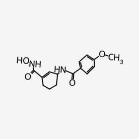 COc1ccc(C(=O)NC2C=C(C(=O)NO)CCC2)cc1